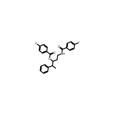 CC(c1ccccc1)C(CCNC(=O)c1ccc(F)cc1)OC(=O)c1ccc(F)cc1